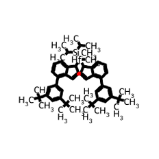 CC(C)[Si](C(C)C)=[Hf]([CH3])([CH3])([CH]1C=Cc2c(-c3cc(C(C)(C)C)cc(C(C)(C)C)c3)cccc21)[CH]1C=Cc2c(-c3cc(C(C)(C)C)cc(C(C)(C)C)c3)cccc21